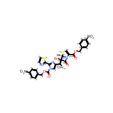 CC(=O)OC(c1cn(C(=O)OCc2ccc([N+](=O)[O-])cc2)c(-c2nccs2)n1)C1(Br)C(=O)N2C(C(=O)OCc3ccc([N+](=O)[O-])cc3)=CS[C@@H]21